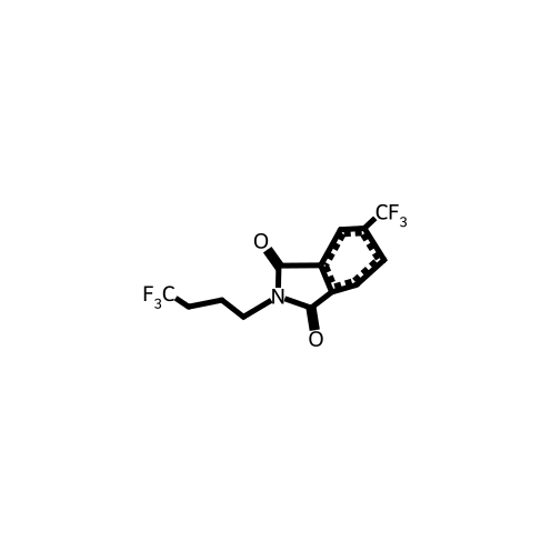 O=C1c2ccc(C(F)(F)F)cc2C(=O)N1CCCC(F)(F)F